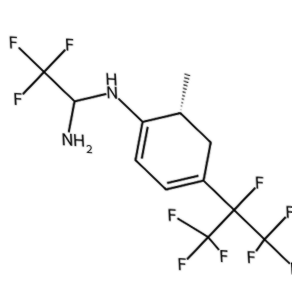 C[C@@H]1CC(C(F)(C(F)(F)F)C(F)(F)F)=CC=C1NC(N)C(F)(F)F